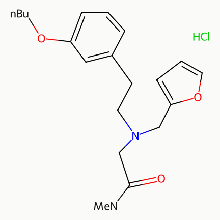 CCCCOc1cccc(CCN(CC(=O)NC)Cc2ccco2)c1.Cl